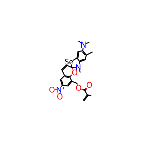 C=C(C)C(=O)OCc1cc([N+](=O)[O-])cc2c1OC1(C=C2)[Se]c2cc(N(C)C)c(C)cc2N1C